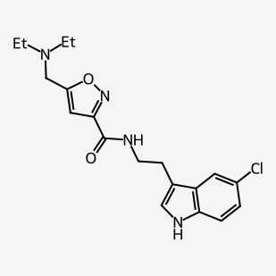 CCN(CC)Cc1cc(C(=O)NCCc2c[nH]c3ccc(Cl)cc23)no1